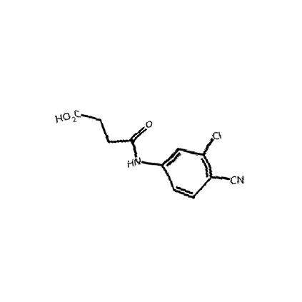 N#Cc1ccc(NC(=O)CCC(=O)O)cc1Cl